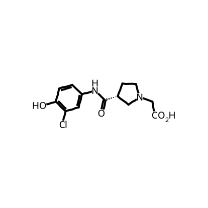 O=C(O)CN1CC[C@@H](C(=O)Nc2ccc(O)c(Cl)c2)C1